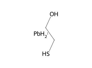 OCCS.[PbH2]